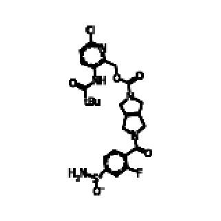 CC(C)(C)C(=O)Nc1ccc(Cl)nc1COC(=O)N1CC2=C(C1)CN(C(=O)c1ccc([S+](N)[O-])cc1F)C2